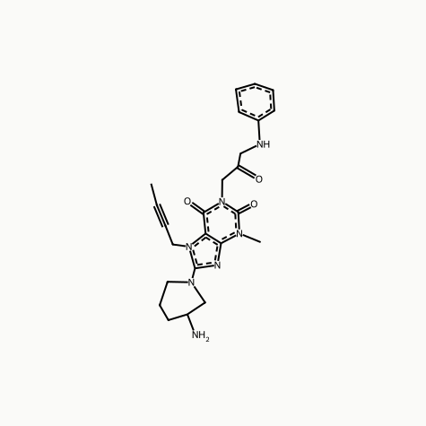 CC#CCn1c(N2CCCC(N)C2)nc2c1c(=O)n(CC(=O)CNc1ccccc1)c(=O)n2C